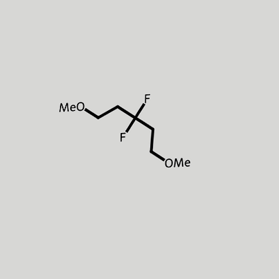 COCCC(F)(F)CCOC